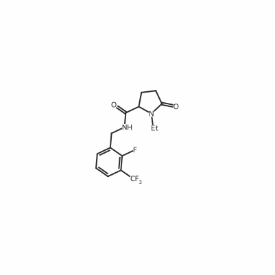 CCN1C(=O)CCC1C(=O)NCc1cccc(C(F)(F)F)c1F